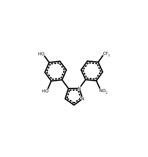 O=[N+]([O-])c1cc(C(F)(F)F)ccc1-n1nccc1-c1ccc(O)cc1O